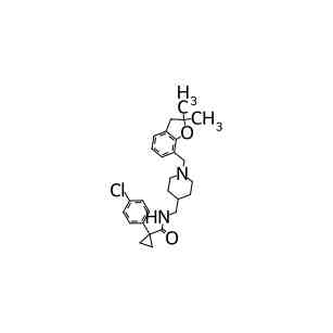 CC1(C)Cc2cccc(CN3CCC(CNC(=O)C4(c5ccc(Cl)cc5)CC4)CC3)c2O1